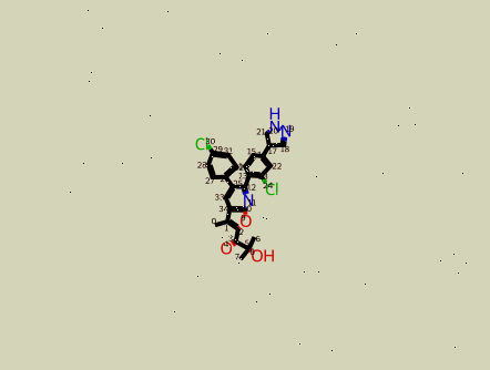 Cc1c(C(=O)C(C)(C)O)oc2nc(-c3ccc(C4C=NNC4)cc3Cl)c(-c3ccc(Cl)cc3)cc12